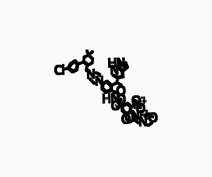 CC(c1cnc2[nH]ccc2c1)c1cc(N2CCN(CC3=C(c4ccc(Cl)cc4)CC(C)(C)CC3)CC2)ccc1C(=O)NS(=O)(=O)c1cc2c(c([N+](=O)[O-])c1)NC(CN1CCOCC1)CO2